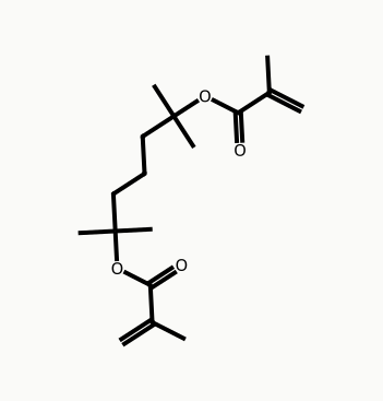 C=C(C)C(=O)OC(C)(C)CCCC(C)(C)OC(=O)C(=C)C